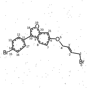 BrCC=CCOc1ccc2c(-c3ccc(Br)cc3)coc2c1